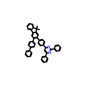 CC1(C)c2ccccc2-c2cc(-c3ccc(-c4ccccc4)cc3)c(-c3ccc(-c4cc(-c5ccccc5)nc(-c5ccccc5)n4)cc3)cc21